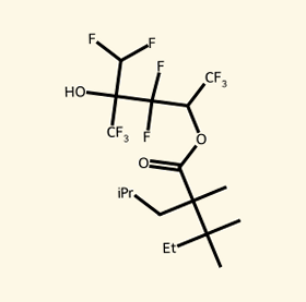 CCC(C)(C)C(C)(CC(C)C)C(=O)OC(C(F)(F)F)C(F)(F)C(O)(C(F)F)C(F)(F)F